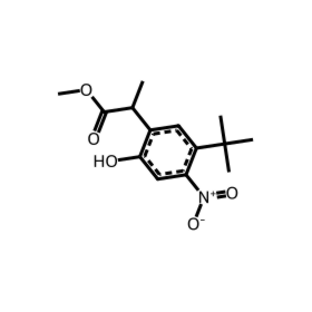 COC(=O)C(C)c1cc(C(C)(C)C)c([N+](=O)[O-])cc1O